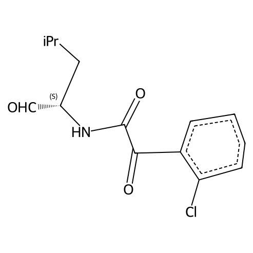 CC(C)C[C@@H](C=O)NC(=O)C(=O)c1ccccc1Cl